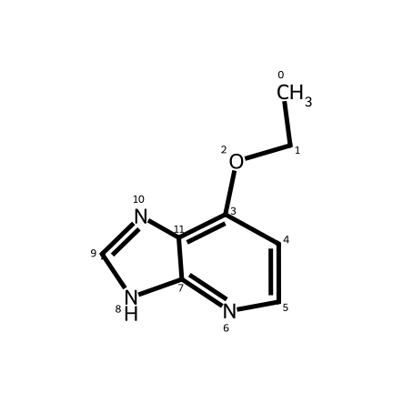 CCOc1ccnc2[nH][c]nc12